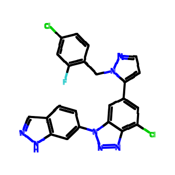 Fc1cc(Cl)ccc1Cn1nccc1-c1cc(Cl)c2nnn(-c3ccc4cn[nH]c4c3)c2c1